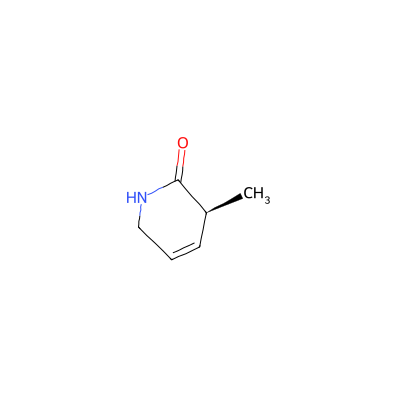 C[C@H]1C=CCNC1=O